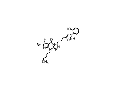 CCCCCn1c2nc(Br)[nH]c2c(=O)n2c(CCCC3=CN(c4ccccc4O)NO3)nnc12